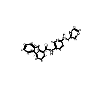 O=C(Nc1ccc(NCc2cnccn2)nc1)c1cccc2c1Cc1ccccc1-2